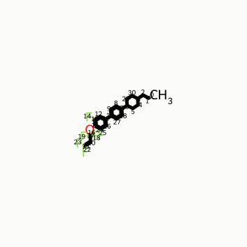 CCCC1CCC(c2ccc(-c3cc(F)c(OC(F)(F)C=C(F)F)c(F)c3)cc2)CC1